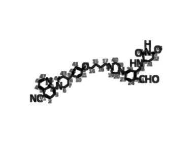 N#Cc1ccc(N2CCC(c3ccc(OCCCCN4CCN(c5ccc(C=O)c(CNC6CCC(=O)NC6=O)c5)CC4)cc3)CC2)c2ncccc12